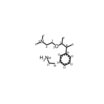 CC(OCCN(C)C)C(C)c1ccccc1.CCN